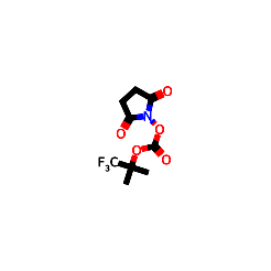 CC(C)(OC(=O)ON1C(=O)CCC1=O)C(F)(F)F